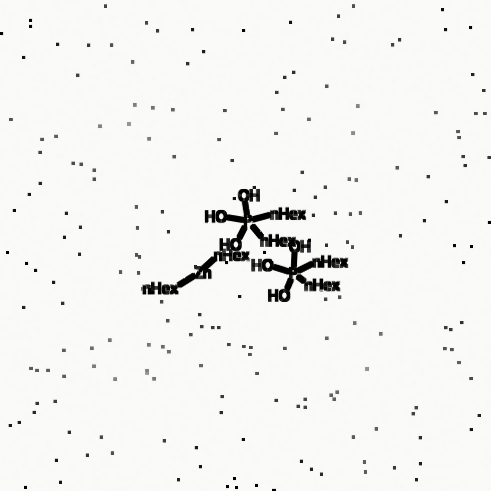 CCCCCCP(O)(O)(O)CCCCCC.CCCCCCP(O)(O)(O)CCCCCC.CCCCC[CH2][Zn][CH2]CCCCC